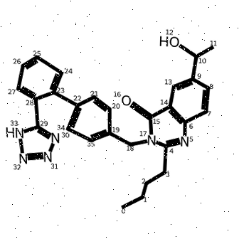 CCCCc1nc2ccc(C(C)O)cc2c(=O)n1Cc1ccc(-c2ccccc2-c2nnn[nH]2)cc1